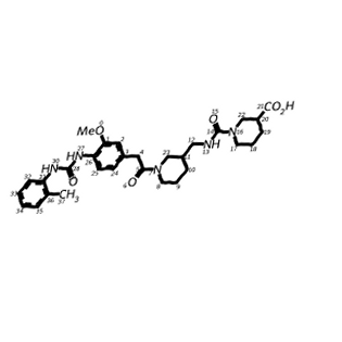 COc1cc(CC(=O)N2CCCC(CNC(=O)N3CCCC(C(=O)O)C3)C2)ccc1NC(=O)Nc1ccccc1C